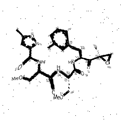 COCC(NC(=O)c1cc(C)on1)C(=O)N[C@@H](COC)C(=O)NC(Cc1cccc(C)c1)C(=O)[C@@]1(C)CO1